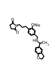 COc1cc(CNC(C)c2ccc3c(c2)CCO3)ccc1CCCN1C(=O)CCC1=O